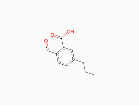 CCCc1ccc(C=O)c(C(=O)O)c1